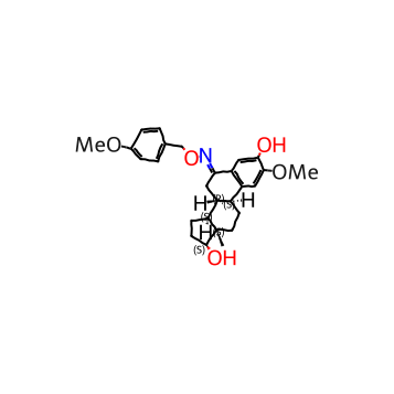 COc1ccc(CON=C2C[C@@H]3[C@H](CC[C@]4(C)[C@@H](O)CC[C@@H]34)c3cc(OC)c(O)cc32)cc1